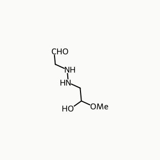 COC(O)CNNCC=O